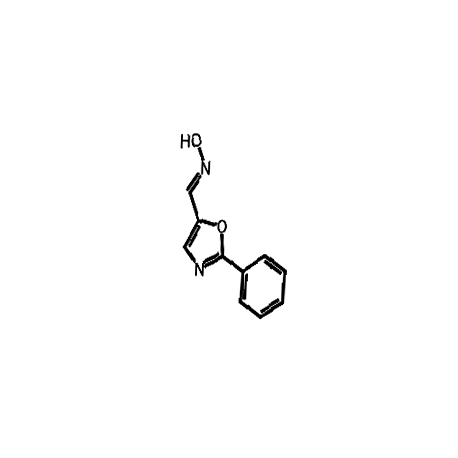 ON=Cc1cnc(-c2ccccc2)o1